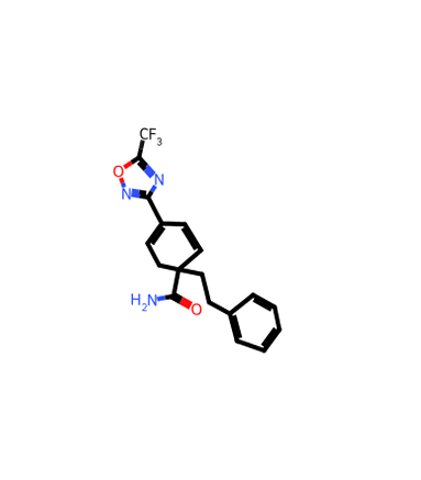 NC(=O)C1(CCc2ccccc2)C=CC(c2noc(C(F)(F)F)n2)=CC1